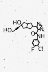 Cn1cnc(C2CC3CC(O)(C#CCO)CC3C2)c1C(=O)Nc1ccc(F)c(Cl)c1